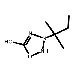 CCC(C)(C)N1N=C(O)ON1